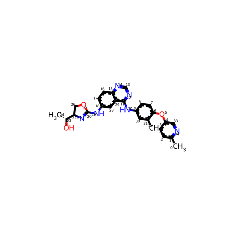 Cc1ccc(Oc2ccc(Nc3ncnc4ccc(NC5=NC([C@@H](C)O)CO5)cc34)cc2C)cn1